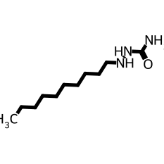 CCCCCCCCCCNNC(N)=O